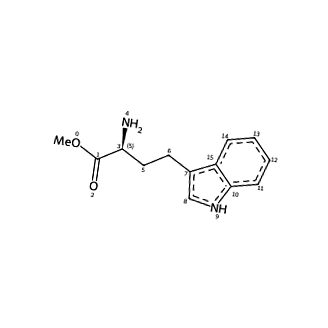 COC(=O)[C@@H](N)CCc1c[nH]c2ccccc12